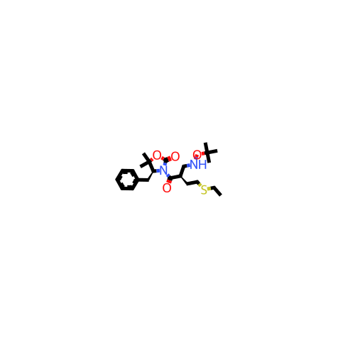 CCSCC[C@H](CNOC(C)(C)C)C(=O)N1C(=O)OC(C)(C)[C@@H]1Cc1ccccc1